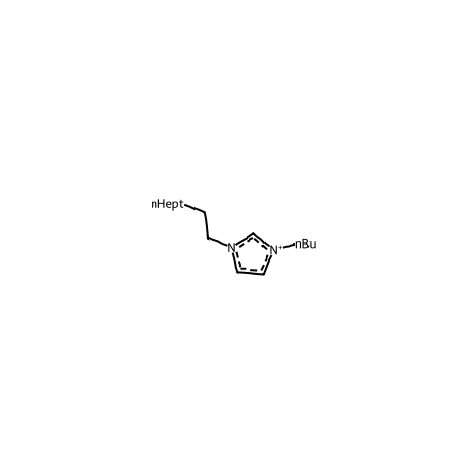 CCCCCCCCCn1cc[n+](CCCC)c1